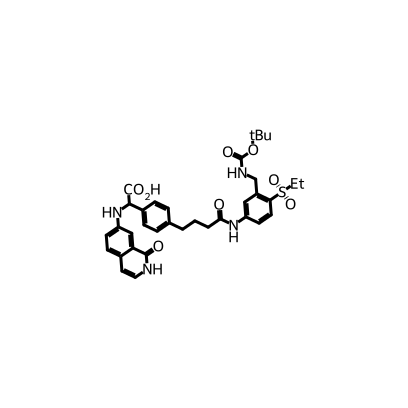 CCS(=O)(=O)c1ccc(NC(=O)CCCc2ccc(C(Nc3ccc4cc[nH]c(=O)c4c3)C(=O)O)cc2)cc1CNC(=O)OC(C)(C)C